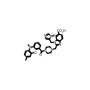 CCn1cncc1Cn1c(CN2CCN(C(=O)c3cccc(N(C)c4ccc(C)cc4Cl)c3)CC2)nc2ccc(C(=O)O)cc21